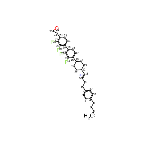 C=CCCc1ccc(CC/C=C/C2CCC(c3ccc(-c4ccc(C5CO5)c(F)c4F)c(F)c3F)CC2)cc1